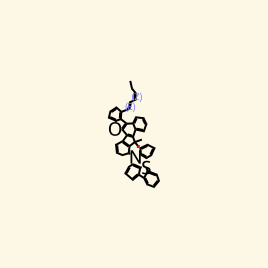 CC/C=C\C=C\c1cccc2oc3c4c(c5ccccc5c3c12)C(C)(C)C1=C4C=CCC1N(c1ccccc1)c1cccc2c1sc1ccccc12